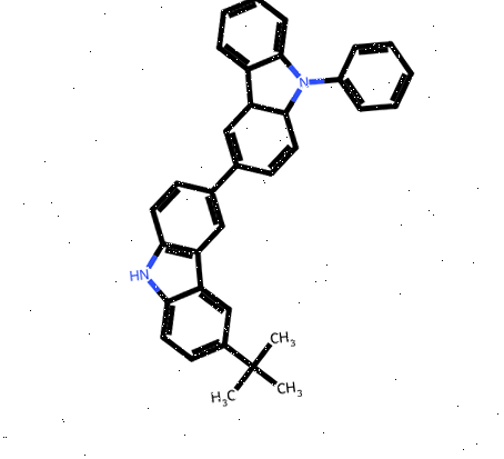 CC(C)(C)c1ccc2[nH]c3ccc(C4=CC5c6ccccc6N(c6ccccc6)C5C=C4)cc3c2c1